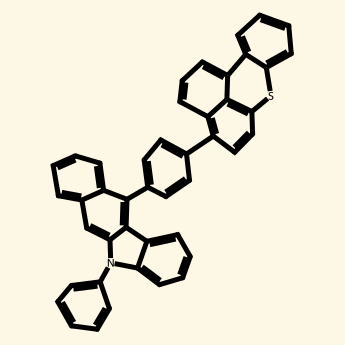 c1ccc(-n2c3ccccc3c3c(-c4ccc(-c5ccc6c7c(cccc57)-c5ccccc5S6)cc4)c4ccccc4cc32)cc1